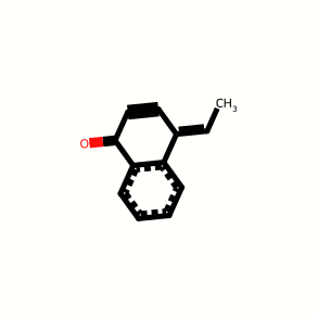 CC=C1C#CC(=O)c2ccccc21